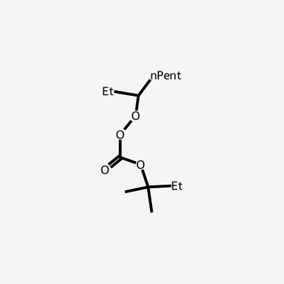 CCCCCC(CC)OOC(=O)OC(C)(C)CC